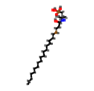 CCCCCCCCCCCCCCCCCCSCCC(=O)NC(C)(C)CS(=O)(=O)O